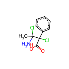 CC(N)(Cl)C(Cl)(C(=O)O)c1ccccc1